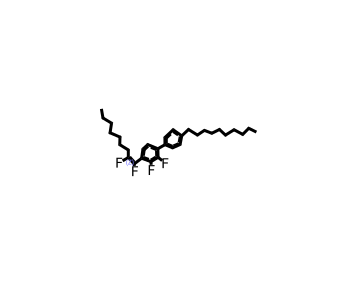 CCCCCCCCCCc1ccc(-c2ccc(/C(F)=C(/F)CCCCCCC)c(F)c2F)cc1